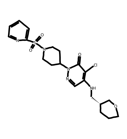 O=c1c(Cl)c(NC[C@H]2CCCOC2)cnn1C1CCN(S(=O)(=O)c2ccccn2)CC1